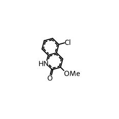 COc1cc2c(Cl)cccc2[nH]c1=O